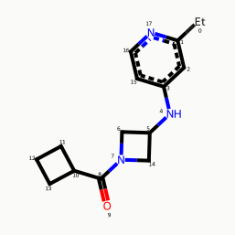 CCc1cc(NC2CN(C(=O)C3CCC3)C2)ccn1